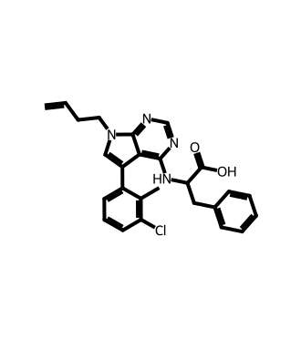 C=CCCn1cc(-c2cccc(Cl)c2C)c2c(NC(Cc3ccccc3)C(=O)O)ncnc21